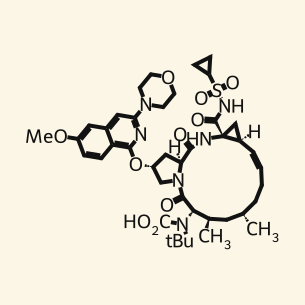 COc1ccc2c(O[C@@H]3C[C@H]4C(=O)N[C@]5(C(=O)NS(=O)(=O)C6CC6)C[C@H]5/C=C\CC[C@H](C)C[C@@H](C)[C@H](N(C(=O)O)C(C)(C)C)C(=O)N4C3)nc(N3CCOCC3)cc2c1